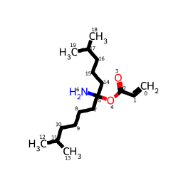 C=CC(=O)OC(N)(CCCCC(C)C)CCCC(C)C